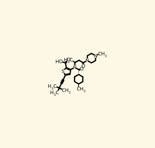 C[C@@H](CC(=O)N1CCN(C)CC1)N(c1cc(C#CC(C)(C)C)sc1C(=O)O)C(=O)[C@H]1CC[C@H](C)CC1